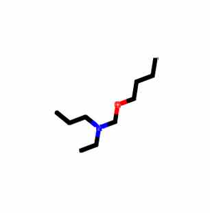 [CH2]CCCOCN(CC)CCC